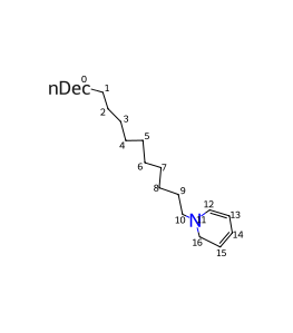 CCCCCCCCCCCCCCCCCCCCN1C=CC=CC1